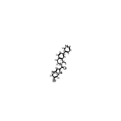 CC1c2cc(-c3cccnc3)ccc2CCN1C(=O)c1cc2ncc(Br)cn2n1